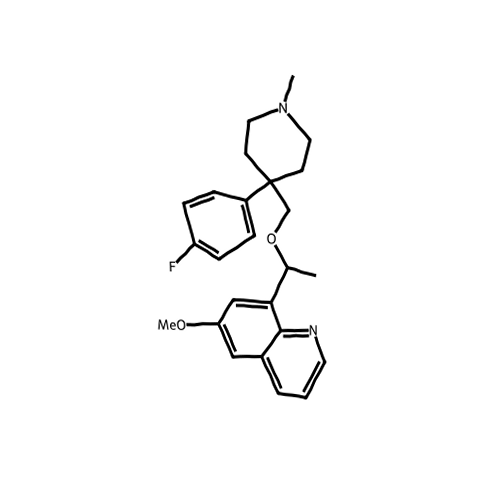 COc1cc(C(C)OCC2(c3ccc(F)cc3)CCN(C)CC2)c2ncccc2c1